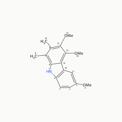 COc1ccc2[nH]c3c(C)c(C)c(OC)c(OC)c3c2c1